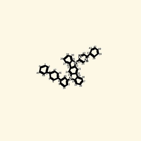 c1ccc(-c2ccc(-c3cccc(-n4c5ccccc5c5cc6c(cc54)c4ccccc4n6-c4cnc(-c5ccccc5)cn4)c3)cc2)cc1